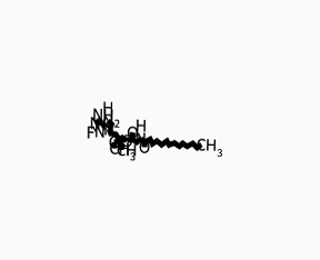 C#CC(CCN1CNc2c(N)nc(F)nc21)(COC(=O)CNC(=O)CCCCCCCCCCCCC)OC